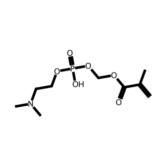 C=C(C)C(=O)OCOP(=O)(O)OCCN(C)C